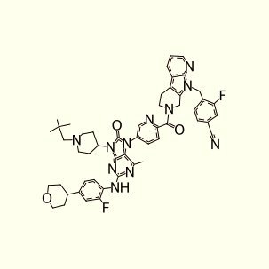 Cc1nc(Nc2ccc(C3CCOCC3)cc2F)nc2c1n(-c1ccc(C(=O)N3CCc4c(n(Cc5ccc(C#N)cc5F)c5ncccc45)C3)nc1)c(=O)n2C1CCN(CC(C)(C)C)CC1